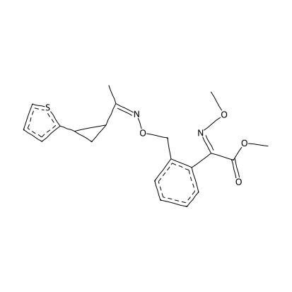 CON=C(C(=O)OC)c1ccccc1CON=C(C)C1CC1c1cccs1